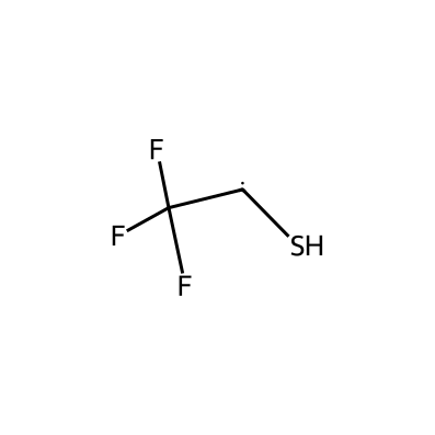 FC(F)(F)[CH]S